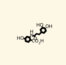 O=C(CCc1ccc(O)c(O)c1)Nc1cc(O)ccc1C(=O)O